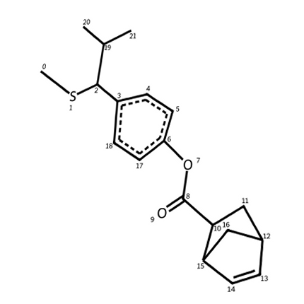 CSC(c1ccc(OC(=O)C2CC3C=CC2C3)cc1)C(C)C